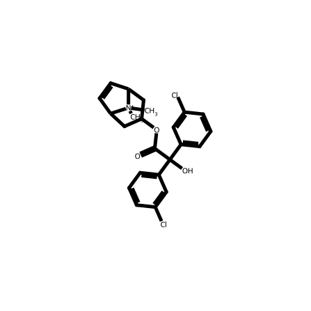 C[N+]1(C)C2C=CC1CC(OC(=O)C(O)(c1cccc(Cl)c1)c1cccc(Cl)c1)C2